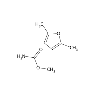 COC(N)=O.Cc1ccc(C)o1